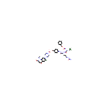 CCn1c(C(=O)O)cc(=O)c2cc(F)c(N3CCN(C(=O)OCc4ccc(NC(=O)[C@H](CCCNC(N)=O)NC(=O)[C@@H](CC(F)(F)F)NC(=O)OCc5ccccc5)cc4)CC3)cc21